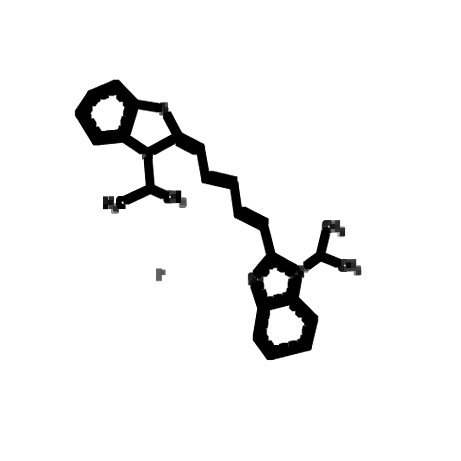 CC(C)N1C(=CC=CC=Cc2sc3ccccc3[n+]2C(C)C)Sc2ccccc21.[I-]